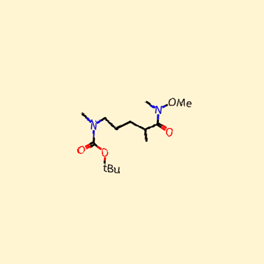 CON(C)C(=O)C(C)CCCN(C)C(=O)OC(C)(C)C